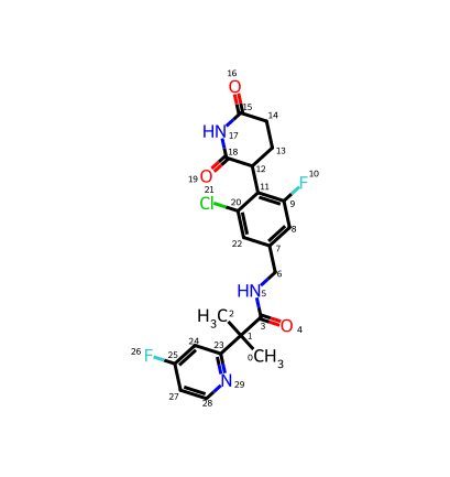 CC(C)(C(=O)NCc1cc(F)c(C2CCC(=O)NC2=O)c(Cl)c1)c1cc(F)ccn1